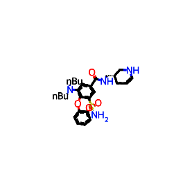 CCCCN(CCCC)c1cc(C(=O)NC[C@H]2CC=CNC2)cc(S(N)(=O)=O)c1Oc1ccccc1